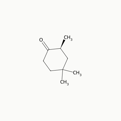 C[C@H]1CC(C)(C)CCC1=O